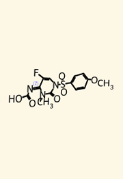 COc1ccc(S(=O)(=O)n2cc(F)/c(=N/C(=O)O)n(C)c2=O)cc1